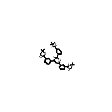 CC1(C)COC(c2cccc(-c3cc(-c4cccc(C5=NC(C)(C)CO5)c4)nc(-c4cccc(C5=NC(C)(C)CO5)c4)n3)c2)=N1